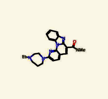 CCN1CCCN(c2ccc3cc(C(=O)NC)c4nc5ccccc5n4c3n2)CC1